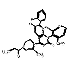 C=CC(=O)N1CCN(c2nc(=O)n(-c3c(C=O)ccnc3C(C)C)c3nc(-c4ccccc4F)c(Cl)cc23)[C@@H](C)C1